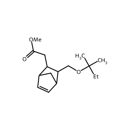 CCC(C)(C)OCC1C2C=CC(C2)C1CC(=O)OC